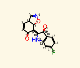 O=C1C=CC2C=NOC2/C1=C1/Nc2cc(F)ccc2C1=O